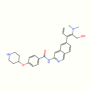 C=C/C(=C(/CO)N(C)C)c1ccc2cnc(NC(=O)c3ccc(OC4CCNCC4)cc3)cc2c1